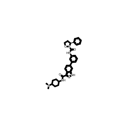 CN(C)C1CCC(NC(=O)c2n[nH]c3cc(-c4cccc(NC(=O)N5OCC[C@H]5c5ccccc5)c4)ccc23)CC1